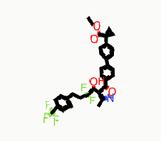 CCOC(=O)C1(c2ccc(-c3ccc(-c4onc(C)c4C(O)C(F)(F)CCc4ccc(C(F)(F)F)cc4)cc3)cc2)CC1